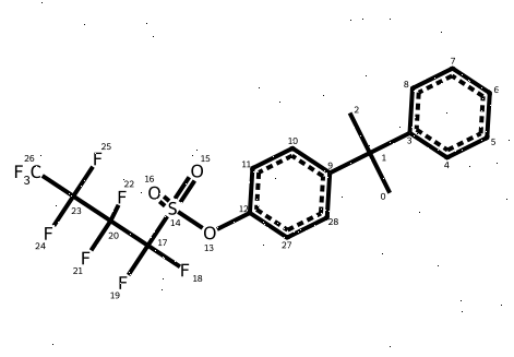 CC(C)(c1ccccc1)c1ccc(OS(=O)(=O)C(F)(F)C(F)(F)C(F)(F)C(F)(F)F)cc1